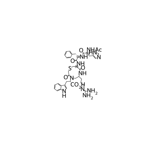 CC(=O)N[C@@H](Cc1cnc[nH]1)C(=O)N[C@@H](Cc1ccccc1)C(=O)N[C@@H]1CSCC(=O)N(C(Cc2c[nH]c3ccccc23)C(=O)O)CC(CCCN=C(N)N)NC1=O